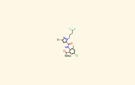 CNC(=O)c1cc(Cl)cc(C)c1NC(=O)c1cc(Br)nn1CCCC(F)F